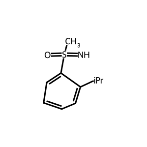 CC(C)c1ccccc1S(C)(=N)=O